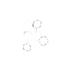 Cc1ccccc1O[PH](Oc1ccccc1C)(Oc1ccccc1C)N1CCCCCC1=O